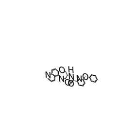 CN1C(=O)[C@@H](NC(=O)c2cccc(Oc3ccccc3)n2)COc2ccc3ncccc3c21